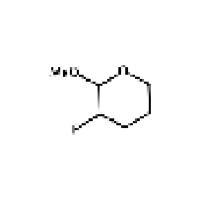 COC1OCCCC1F